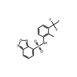 Cc1c(NS(=O)(=O)c2cccc3nonc23)cccc1C(F)(F)F